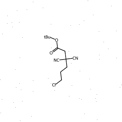 CC(C)(C)OC(=O)CC(C#N)(C#N)CCCCl